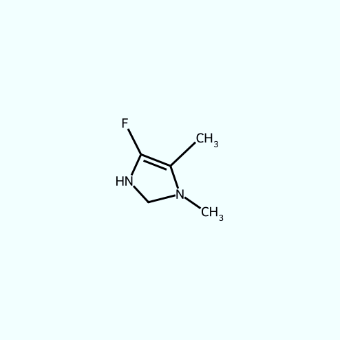 CC1=C(F)NCN1C